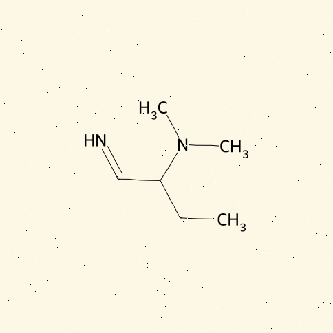 CCC(C=N)N(C)C